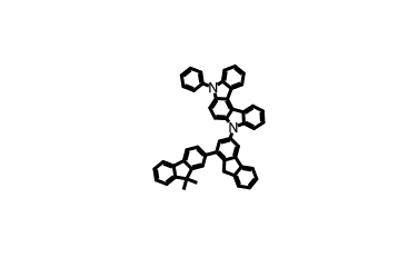 CC1(C)c2ccccc2-c2ccc(-c3cc(-n4c5ccccc5c5c6c7ccccc7n(-c7ccccc7)c6ccc54)cc4c3Cc3ccccc3-4)cc21